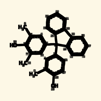 Cc1cc(C2(c3cc(C)c(O)c(C)c3)c3ccccc3-c3ccccc32)ccc1O